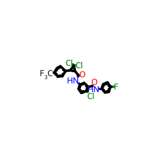 O=C(Nc1ccc(F)cc1)c1cc(NC(=O)C2C(c3ccc(C(F)(F)F)cc3)C2(Cl)Cl)ccc1Cl